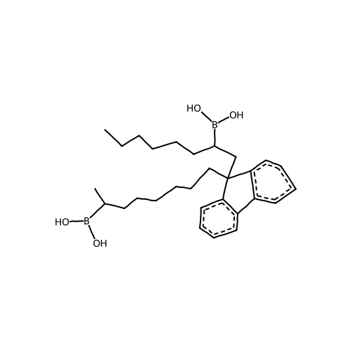 CCCCCCC(CC1(CCCCCCC(C)B(O)O)c2ccccc2-c2ccccc21)B(O)O